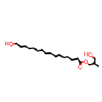 CC(CO)COC(=O)CCCCCCCCCCCCCCCO